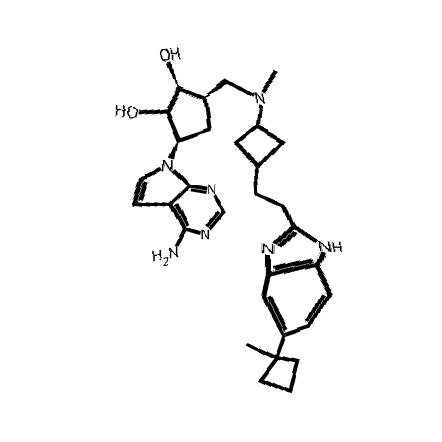 CN(C[C@H]1C[C@@H](n2ccc3c(N)ncnc32)C(O)[C@H]1O)C1CC(CCc2nc3cc(C4(C)CCC4)ccc3[nH]2)C1